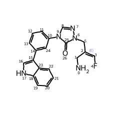 NC/C(=C\F)Cn1ncn(-c2cccc(-c3c[nH]c4ccccc34)c2)c1=O